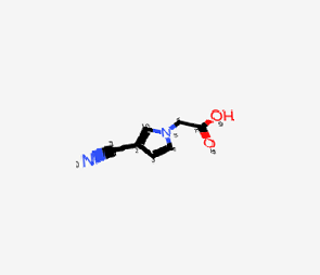 N#Cc1ccn(CC(=O)O)c1